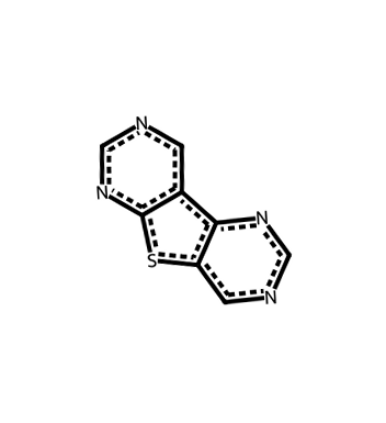 c1ncc2c(n1)sc1cncnc12